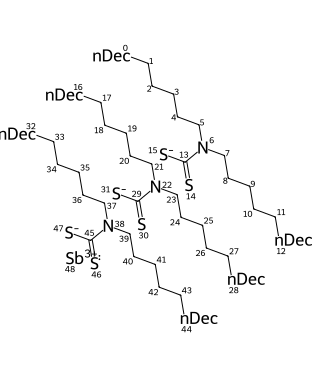 CCCCCCCCCCCCCCCN(CCCCCCCCCCCCCCC)C(=S)[S-].CCCCCCCCCCCCCCCN(CCCCCCCCCCCCCCC)C(=S)[S-].CCCCCCCCCCCCCCCN(CCCCCCCCCCCCCCC)C(=S)[S-].[Sb+3]